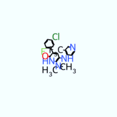 CN(C)c1[nH]c(=O)c(-c2cc(Cl)ccc2F)cc1Nc1ccncc1C(F)(F)F